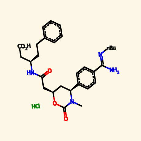 CCCCN=C(N)c1ccc([C@@H]2C[C@H](CC(=O)N[C@H](CCc3ccccc3)CC(=O)O)OC(=O)N2C)cc1.Cl